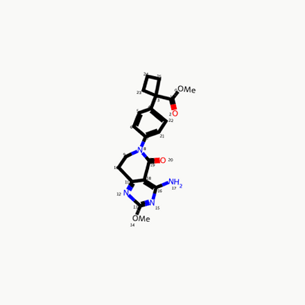 COC(=O)C1(c2ccc(N3CCc4nc(OC)nc(N)c4C3=O)cc2)CCC1